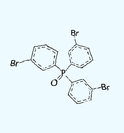 O=P(c1cccc(Br)c1)(c1cccc(Br)c1)c1cccc(Br)c1